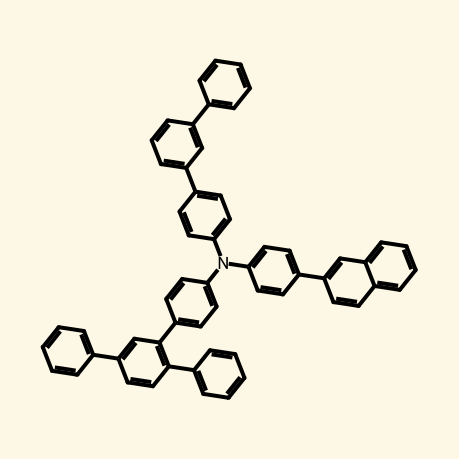 c1ccc(-c2cccc(-c3ccc(N(c4ccc(-c5ccc6ccccc6c5)cc4)c4ccc(-c5cc(-c6ccccc6)ccc5-c5ccccc5)cc4)cc3)c2)cc1